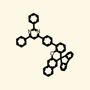 c1ccc(-c2cc(-c3ccc(-c4cccc5c4Oc4cc6ccccc6cc4C54c5ccccc5-c5ccccc54)cc3)nc(-c3ccccc3)n2)cc1